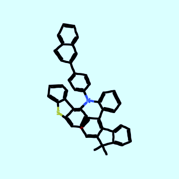 CC1(C)c2ccccc2-c2c(-c3ccccc3N(c3ccc(-c4ccc5ccccc5c4)cc3)c3cccc4sc5ccccc5c34)cccc21